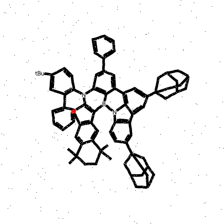 CC(C)(C)c1ccc(N2c3cc(-c4ccccc4)cc4c3B(c3c2oc2cc5c(cc32)C(C)(C)CCC5(C)C)n2c3ccc(C56CC7CC(CC(C7)C5)C6)cc3c3cc(C56CC7CC(CC(C7)C5)C6)cc-4c32)c(-c2ccccc2)c1